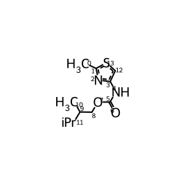 Cc1nc(NC(=O)OCC(C)C(C)C)cs1